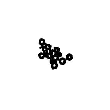 CC1(C)c2ccccc2-c2ccc(N(c3cccc4c3oc3ccccc34)c3cccc4oc5c(-c6cccc(-c7ccccc7)c6)c6c(cc5c34)oc3ccccc36)cc21